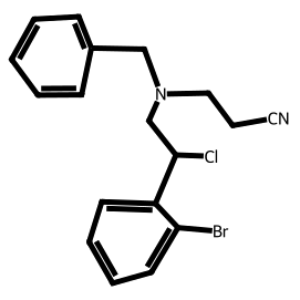 N#CCCN(Cc1ccccc1)CC(Cl)c1ccccc1Br